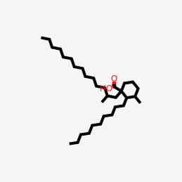 CCCCCCCCCCCCC(C)CC1(C(=O)O)CCCC(C)C1CCCCCCCCCC